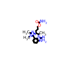 Cc1nnc(-c2cccc3nc(N)n(C(C)CCCCOC(N)=O)c23)n1C